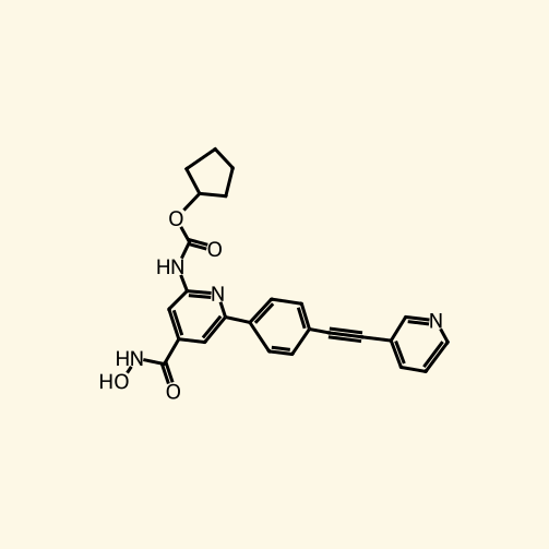 O=C(Nc1cc(C(=O)NO)cc(-c2ccc(C#Cc3cccnc3)cc2)n1)OC1CCCC1